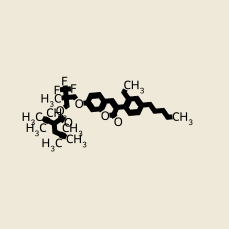 CCCCCc1ccc(-c2cc3ccc(OCC(C)(COC(=O)C(CC(C)(C)C)C(C)(C)C)C(F)(F)F)cc3oc2=O)c(CC)c1